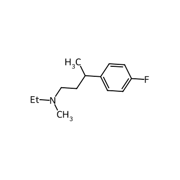 CCN(C)CCC(C)c1ccc(F)cc1